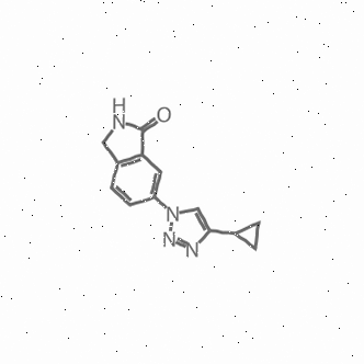 O=C1NCc2ccc(-n3cc(C4CC4)nn3)cc21